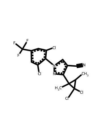 CC1C(Cl)(Cl)C1(C)c1nn(-c2c(Cl)cc(C(F)(F)F)cc2Cl)cc1C#N